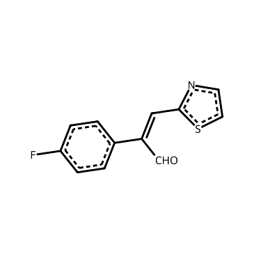 O=CC(=Cc1nccs1)c1ccc(F)cc1